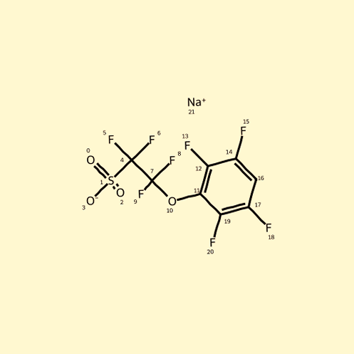 O=S(=O)([O-])C(F)(F)C(F)(F)Oc1c(F)c(F)cc(F)c1F.[Na+]